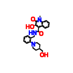 Cn1c(=O)c(O)c(C(=O)NCc2ccccc2N2CCC(CO)CC2)c2ccccc21